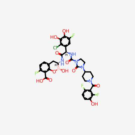 O=C(O)c1c(F)ccc2c1OB(O)[C@@H](NC(=O)[C@H](NC(=O)N1CCN(C3CCN(C(=O)c4c(F)ccc(O)c4F)CC3)C1=O)c1cc(F)c(O)c(O)c1Cl)C2